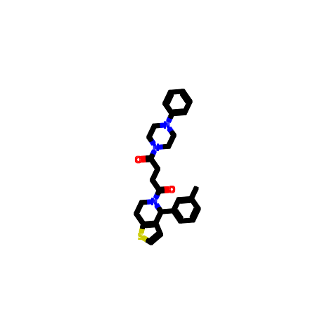 Cc1cccc(C2c3ccsc3CCN2C(=O)CCC(=O)N2CCN(c3ccccc3)CC2)c1